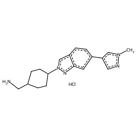 Cl.Cn1cc(-c2ccc3cn(C4CCC(CN)CC4)nc3c2)cn1